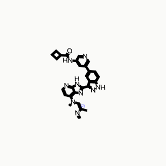 C=N/C(C)=C\N(C)c1ccnc2[nH]c(-c3n[nH]c4ccc(-c5cncc(NC(=O)C6CCC6)c5)cc34)nc12